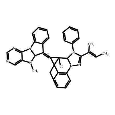 C/C=C(\C)C1=NN2c3ccc4cc3C3(C4)/C(=C4/c5ccccc5N5c6ncncc6N(C)C45)C3(CC)C2N1c1ccccc1